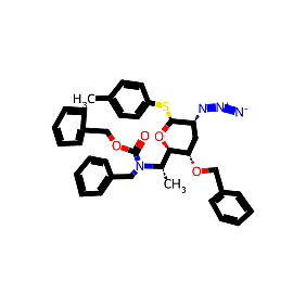 Cc1ccc(S[C@@H]2O[C@H]([C@H](C)N(Cc3ccccc3)C(=O)OCc3ccccc3)[C@@H](OCc3ccccc3)C[C@H]2N=[N+]=[N-])cc1